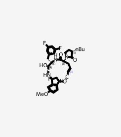 CCCC[C@H]1CCN([C@H]2C/C=C/CO[C@@H]3C[C@H](NC[C@@H](O)[C@H](Cc4cc(F)cc(F)c4)NC2=O)c2cc(OC)ccc23)C1=O